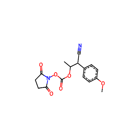 COc1ccc(C(C#N)C(C)OC(=O)ON2C(=O)CCC2=O)cc1